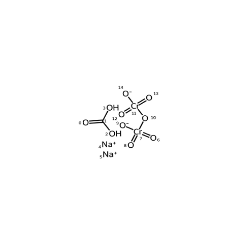 O=C(O)O.[Na+].[Na+].[O]=[Cr](=[O])([O-])[O][Cr](=[O])(=[O])[O-]